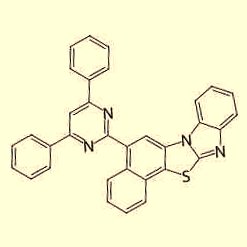 c1ccc(-c2cc(-c3ccccc3)nc(-c3cc4c(sc5nc6ccccc6n54)c4ccccc34)n2)cc1